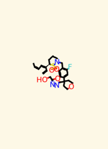 C=C/C(=C\C=C/C)[C@H]1CCCN(Cc2ccc(C3(c4nnc(CO)o4)CCOCC3)cc2F)S1(=O)=O